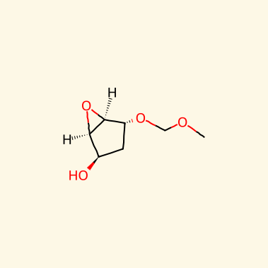 COCO[C@@H]1C[C@@H](O)[C@H]2O[C@H]21